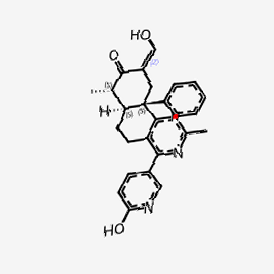 Cc1nc(-c2ccc(O)nc2)c2c(n1)[C@@]1(c3ccccc3)C/C(=C/O)C(=O)[C@@H](C)[C@@H]1CC2